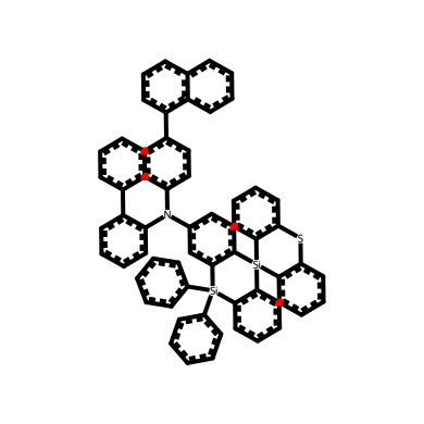 c1ccc(-c2ccccc2N(c2ccc(-c3cccc4ccccc34)cc2)c2ccc3c(c2)[Si](c2ccccc2)(c2ccccc2)c2ccccc2[Si]32c3ccccc3Sc3ccccc32)cc1